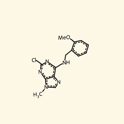 COc1ccccc1CNc1nc(Cl)nc2c1ncn2C